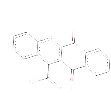 O=Cc1nc2ccccc2c(C(=O)O)c1C(=O)c1ccccc1